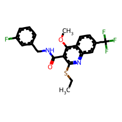 CCSc1nc2cc(C(F)(F)F)ccc2c(OC)c1C(=O)NCc1cccc(F)c1